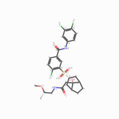 CO[C@@H](C)CNC(=O)C[C@]1(O)C2CCC1C[C@@H](S(=O)(=O)c1cc(C(=O)Nc3ccc(F)c(F)c3)ccc1Cl)C2